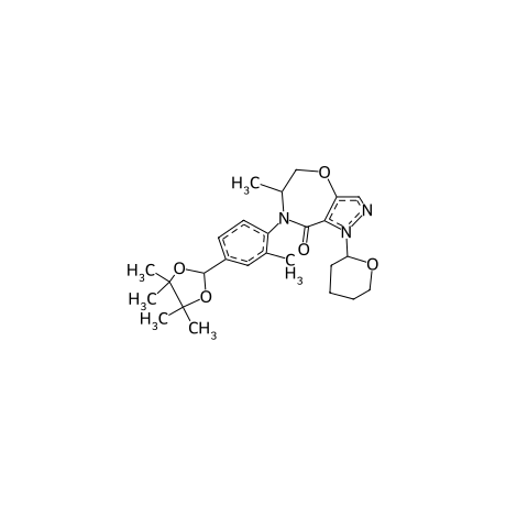 Cc1cc(C2OC(C)(C)C(C)(C)O2)ccc1N1C(=O)c2c(cnn2C2CCCCO2)OCC1C